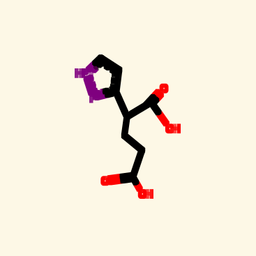 O=C(O)CCC(C(=O)O)c1cc[pH]p1